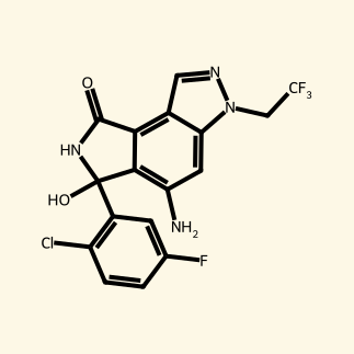 Nc1cc2c(cnn2CC(F)(F)F)c2c1C(O)(c1cc(F)ccc1Cl)NC2=O